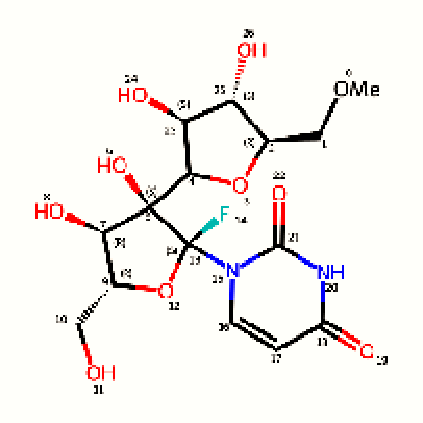 COC[C@H]1OC([C@@]2(O)[C@H](O)[C@@H](CO)O[C@@]2(F)n2ccc(=O)[nH]c2=O)[C@@H](O)[C@@H]1O